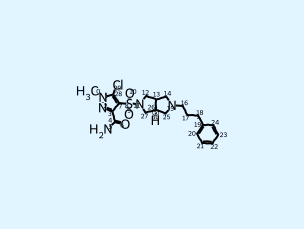 Cn1nc(C(N)=O)c(S(=O)(=O)N2CC3CN(CC[CH]c4ccccc4)C[C@H]3C2)c1Cl